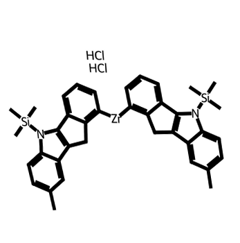 Cc1ccc2c(c1)c1c(n2[Si](C)(C)C)-c2ccc[c]([Zr][c]3cccc4c3Cc3c-4n([Si](C)(C)C)c4ccc(C)cc34)c2C1.Cl.Cl